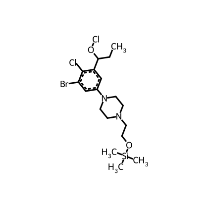 CCC(OCl)c1cc(N2CCN(CCO[Si](C)(C)C)CC2)cc(Br)c1Cl